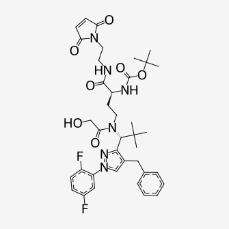 CC(C)(C)OC(=O)N[C@@H](CCN(C(=O)CO)[C@@H](c1nn(-c2cc(F)ccc2F)cc1Cc1ccccc1)C(C)(C)C)C(=O)NCCN1C(=O)C=CC1=O